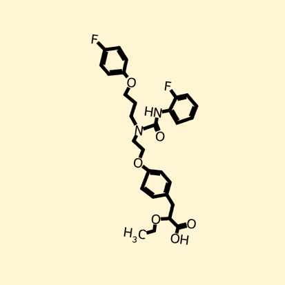 CCOC(Cc1ccc(OCCN(CCCOc2ccc(F)cc2)C(=O)Nc2ccccc2F)cc1)C(=O)O